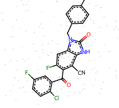 COc1ccc(Cn2c(=O)[nH]c3c(C#N)c(C(=O)c4cc(F)ccc4Cl)c(F)cc32)cc1